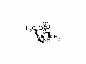 C=CCOS(=O)(=O)[O-].C=CC[n+]1cc[nH]c1